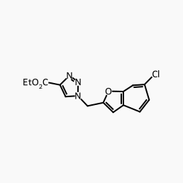 CCOC(=O)c1cn(Cc2cc3ccc(Cl)cc3o2)nn1